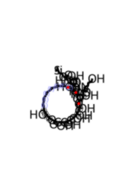 CO[C@]12C[C@@H](O)C[C@@H](O)[C@H](O)CC[C@@H](O)C[C@@H](O)CC(=O)O[C@@H](C)[C@H](C)[C@H](O)[C@@H](C)/C=C/C=C/C=C/C=C/C=C/C=C/C=C/[C@H](O[C@@H]3O[C@H](C)[C@@H](O)[C@H](NC(=O)OCC[Si](C)(C)C)[C@@H]3O)C[C@H](O1)[C@H](NC(=O)NCCCO)[C@@H](O)C2